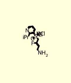 CC(C)c1ncccc1S(=O)(=O)C/C(F)=C/CN.Cl.Cl